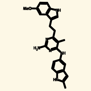 COc1ccc2[nH]cc(CCc3nc(N)nc(Nc4ccc5[nH]c(C)cc5c4)c3C)c2c1